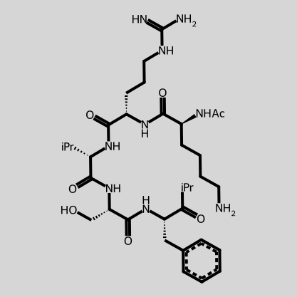 CC(=O)N[C@@H](CCCCN)C(=O)N[C@@H](CCCNC(=N)N)C(=O)N[C@H](C(=O)N[C@@H](CO)C(=O)N[C@@H](Cc1ccccc1)C(=O)C(C)C)C(C)C